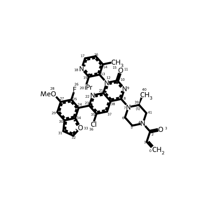 C=CC(=O)N1CCN(c2nc(=O)n(-c3c(C)ccnc3C(C)C)c3nc(-c4c(F)c(OC)cc5ccoc45)c(Cl)cc23)[C@@H](C)C1